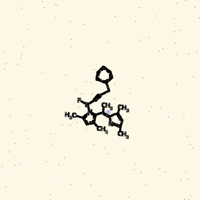 CC1=CC(C)=N/C1=C(/C)c1c(C)cc(C)n1B(F)C#CCc1ccccc1